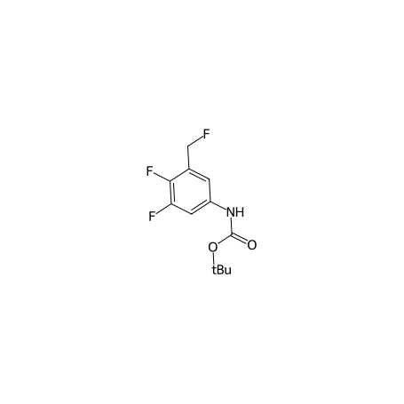 CC(C)(C)OC(=O)Nc1cc(F)c(F)c(CF)c1